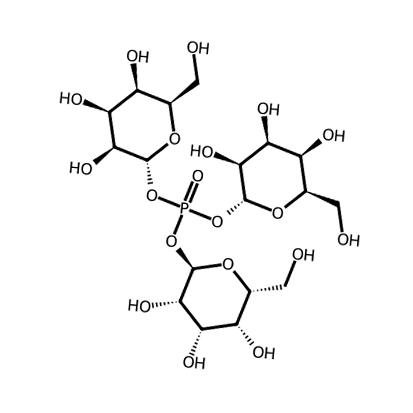 O=P(O[C@H]1O[C@H](CO)[C@H](O)[C@H](O)[C@@H]1O)(O[C@H]1O[C@H](CO)[C@H](O)[C@H](O)[C@@H]1O)O[C@H]1O[C@H](CO)[C@H](O)[C@H](O)[C@@H]1O